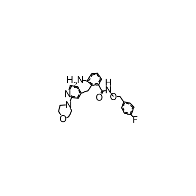 Nc1cccc(C(=O)NOCc2ccc(F)cc2)c1Cc1ccnc(N2CCOCC2)c1